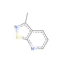 Cc1nsc2ncccc12